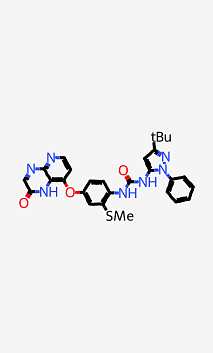 CSc1cc(Oc2ccnc3ncc(=O)[nH]c23)ccc1NC(=O)Nc1cc(C(C)(C)C)nn1-c1ccccc1